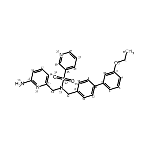 CCOc1cccc(-c2ccc(CN(Cc3cccc(N)n3)S(=O)(=O)c3cccnc3)cc2)c1